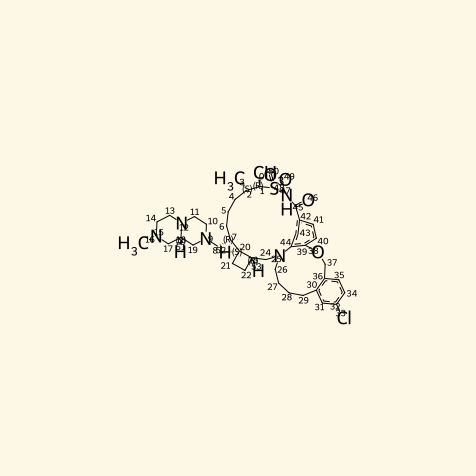 C[C@@H]1[C@@H](C)CCC[C@@H](CN2CCN3CCN(C)C[C@H]3C2)[C@@H]2CC[C@H]2CN2CCCCc3cc(Cl)ccc3COc3ccc(cc32)C(=O)NS1(=O)=O